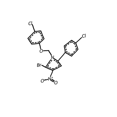 O=[N+]([O-])c1cc(-c2ccc(Cl)cc2)n(COc2ccc(Cl)cc2)c1Br